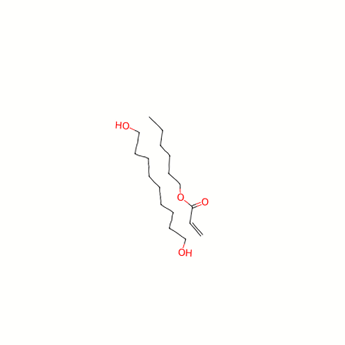 C=CC(=O)OCCCCCC.OCCCCCCCCCO